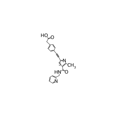 Cc1nc(C#Cc2ccc(CC(=O)O)cc2)sc1C(=O)NCc1ccccn1